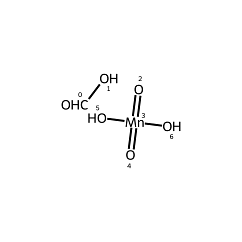 O=CO.[O]=[Mn](=[O])([OH])[OH]